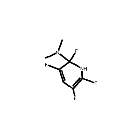 CN(C)C1(F)NC(F)=C(F)C=C1F